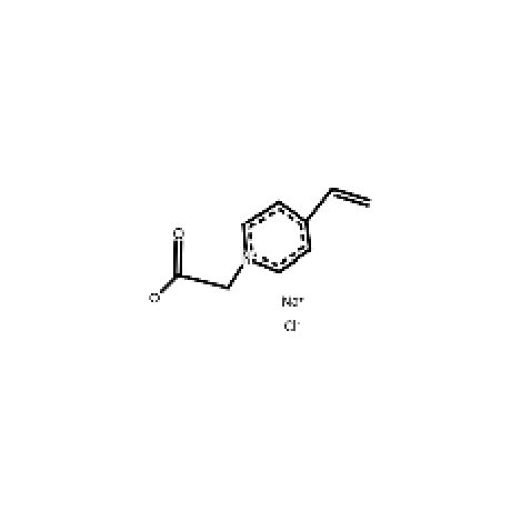 C=Cc1cc[n+](CC(=O)[O-])cc1.[Cl-].[Na+]